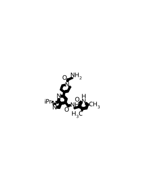 Cc1cc(C)c(CNC(=O)c2cc(C3=CCN(C(=O)CN)CC3)nc3c2cnn3C(C)C)c(=O)[nH]1